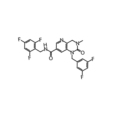 CN1Cc2ncc(C(=O)NCc3c(F)cc(F)cc3F)cc2N(Cc2cc(F)cc(F)c2)C1=O